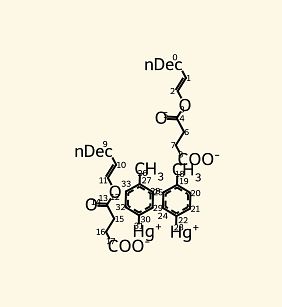 CCCCCCCCCCC=COC(=O)CCC(=O)[O-].CCCCCCCCCCC=COC(=O)CCC(=O)[O-].Cc1cc[c]([Hg+])cc1.Cc1cc[c]([Hg+])cc1